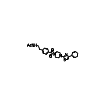 CC(=O)NCCc1ccc(S(=O)(=O)N2CCN(c3nc(C4=CCCC=C4)cs3)CC2)cc1